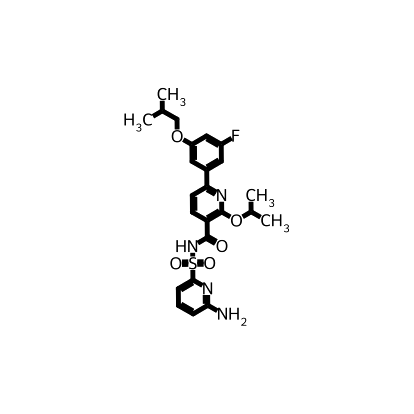 CC(C)COc1cc(F)cc(-c2ccc(C(=O)NS(=O)(=O)c3cccc(N)n3)c(OC(C)C)n2)c1